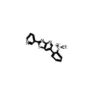 CC[S+]([O-])c1ccccc1-c1cnc2nc(-c3cccnc3)sc2c1